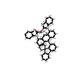 Cc1nc2ccccc2n1-c1cccc2c(-c3cccc4c3C3(CCCC3)c3ccccc3-4)c3cccc(-n4c(C)nc5ccccc54)c3cc12